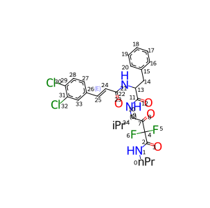 CCCNC(=O)C(F)(F)C(=O)[C@@H](NC(=O)C(Cc1ccccc1)NC(=O)/C=C/c1ccc(Cl)c(Cl)c1)C(C)C